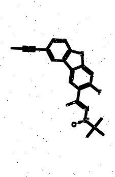 CC#Cc1ccc2sc3cc(F)c(/C(C)=N/[S@+]([O-])C(C)(C)C)cc3c2c1